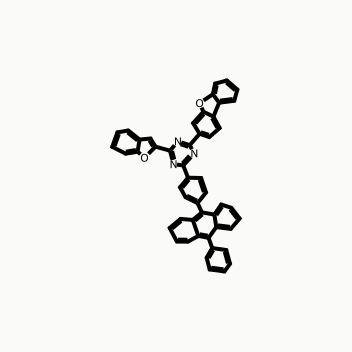 c1ccc(-c2c3ccccc3c(-c3ccc(-c4nc(-c5ccc6c(c5)oc5ccccc56)nc(-c5cc6ccccc6o5)n4)cc3)c3ccccc23)cc1